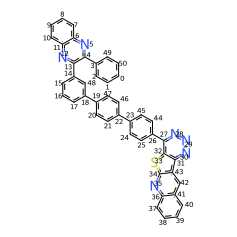 c1ccc(-c2nc3ccccc3nc2-c2cccc(-c3ccc(-c4ccc(-c5nnnc6c5sc5nc7ccccc7cc56)cc4)cc3)c2)cc1